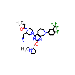 C=CC(=O)N1CCN(c2nc(OC[C@@H]3CCCN3C)nc3c2CCCN(c2ccc(F)c(C(F)(F)F)c2)C3)CC1CC#N